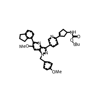 COc1ccc(Cn2nc(-c3ccc(C4=CCC(NC(=O)OC(C)(C)C)C4)nc3)c3nc(-c4cccc5c4CCC5)c(OC)cc32)cc1